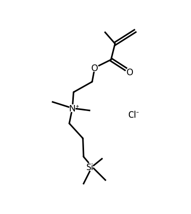 C=C(C)C(=O)OCC[N+](C)(C)CCC[Si](C)(C)C.[Cl-]